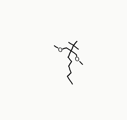 CCCCCCC(COC)(COC)C(C)(C)C